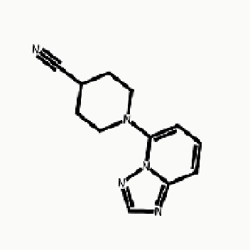 N#CC1CCN(c2cccc3ncnn23)CC1